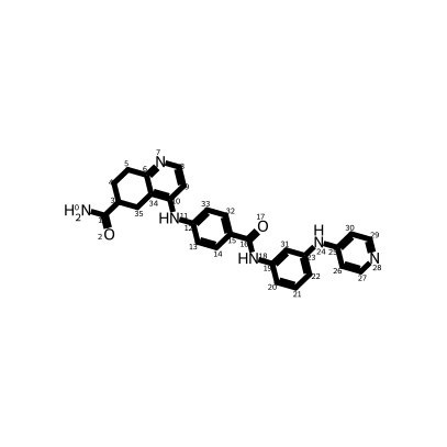 NC(=O)C1CCc2nccc(Nc3ccc(C(=O)Nc4cccc(Nc5ccncc5)c4)cc3)c2C1